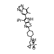 Cc1c(-c2[nH]c3sc(C4CCC(NCC5(S(C)(=O)=O)CC5)CC4)nc3c2C(C)C)cn2ncnc2c1C